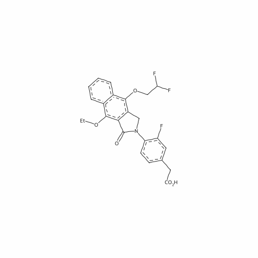 CCOc1c2c(c(OCC(F)F)c3ccccc13)CN(c1ccc(CC(=O)O)cc1F)C2=O